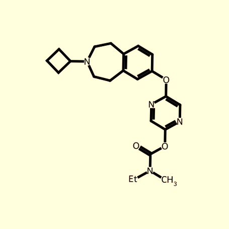 CCN(C)C(=O)Oc1cnc(Oc2ccc3c(c2)CCN(C2CCC2)CC3)cn1